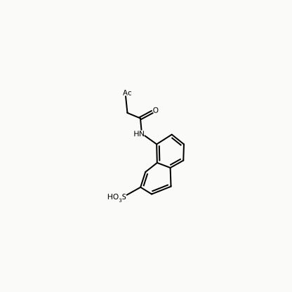 CC(=O)CC(=O)Nc1cccc2ccc(S(=O)(=O)O)cc12